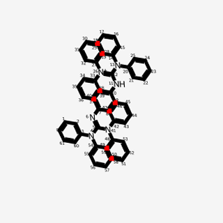 c1ccc(N(C(=Nc2ccc(NC(N(c3ccccc3)c3ccccc3)=[N+](c3ccccc3)c3ccccc3)cc2)N(c2ccccc2)c2ccccc2)c2ccccc2)cc1